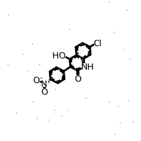 O=c1[nH]c2cc(Cl)ccc2c(O)c1-c1ccc([N+](=O)[O-])cc1